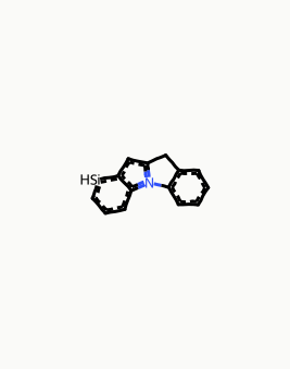 c1ccc2c(c1)Cc1cc3[siH]cccc3n1-2